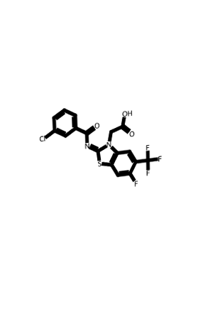 O=C(O)Cn1c(=NC(=O)c2cccc(Cl)c2)sc2cc(F)c(C(F)(F)F)cc21